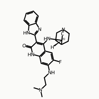 CN(C)CCNc1cc2[nH]c(=O)c(-c3nc4ccccc4[nH]3)c(N[C@@H]3CN4CCC3CC4)c2cc1F